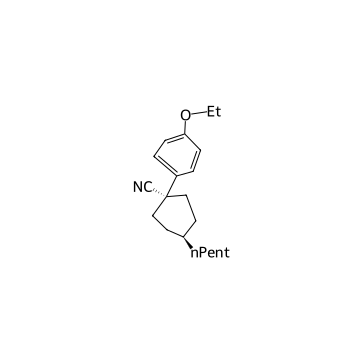 CCCCC[C@H]1CC[C@@](C#N)(c2ccc(OCC)cc2)CC1